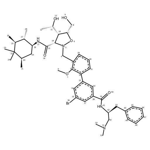 COc1c(CN2O[C@@H](CO)[C@@H]([C@H](C)O)[C@H]2C(=O)N[C@H]2C[C@@H](C)C(C)(C)[C@@H](C)[C@@H]2C)cccc1-c1cc(Br)cc(C(=O)N[C@@H](Cc2ccccc2)CN(C)C)c1